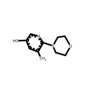 Cc1cc(O)cnc1N1CCOCC1